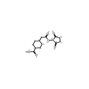 O=C(CC1CCC(C(=O)O)CC1)ON1C(=O)CCC1=O